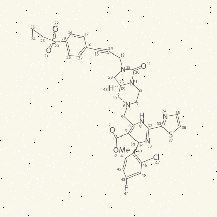 COC(=O)C1=C(CN2CCN3C(=O)N(CC#Cc4ccc(S(=O)(=O)C5CC5)cc4)C[C@@H]3C2)NC(c2nccs2)=N[C@H]1c1ccc(F)cc1Cl